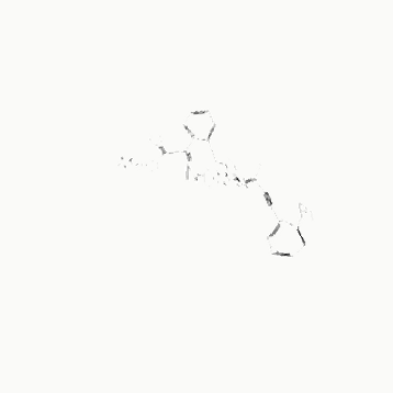 CO/N=C(/C(=O)OC)c1ccccc1CO/N=C(\C)C#Cc1ccccc1Br